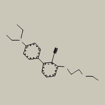 CCOCCOc1cccc(-c2ccc(N(CC)CC)cc2)c1C#N